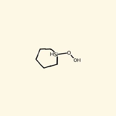 OO[SiH]1CCCCC1